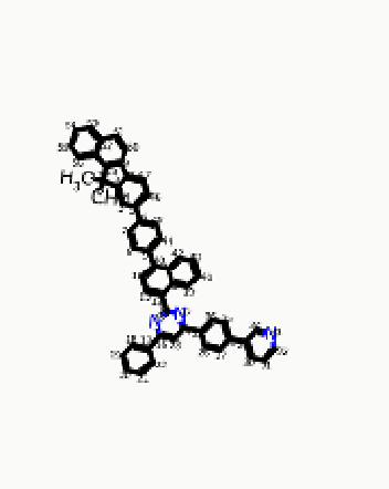 CC1(C)c2cc(-c3ccc(-c4ccc(-c5nc(-c6ccccc6)cc(-c6ccc(-c7cccnc7)cc6)n5)c5ccccc45)cc3)ccc2-c2ccc3ccccc3c21